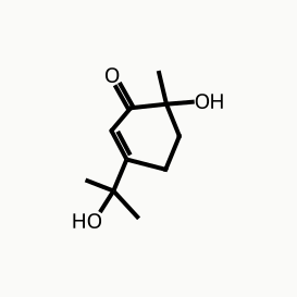 CC(C)(O)C1=CC(=O)C(C)(O)CC1